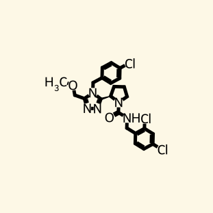 COCc1nnc([C@H]2CCCN2C(=O)NCc2ccc(Cl)cc2Cl)n1Cc1ccc(Cl)cc1